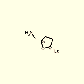 CC[C@H]1CC[C@@H](CN)O1